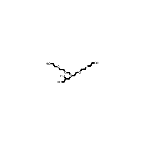 OCCOCCOCCN(COCCOCCO)CC(O)CO